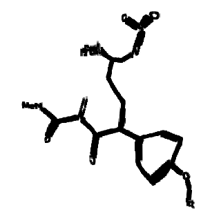 CCCCCC(CCC(C(=O)NC(=O)NC)c1ccc(OCC)cc1)N=S(=O)=O